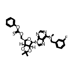 CN(Cc1cccc(F)c1)c1ncnc2c1ncn2[C@@H]1O[C@H](COC(=S)Oc2ccccc2)[C@H]2OC(C)(C)O[C@H]21